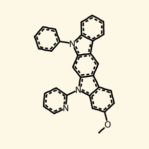 COc1ccc2c3cc4c5ccccc5n(-c5ccccc5)c4cc3n(-c3ccccn3)c2c1